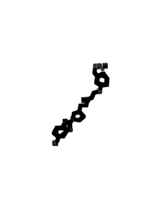 O=C(O)Cc1cccc(OCCNCCC2CCN(c3nc4ccc(Cl)cc4s3)C2)c1